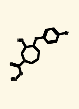 CC(C)(C)OC(=O)N1CCCC(Sc2ccc(Br)cc2)C(O)C1